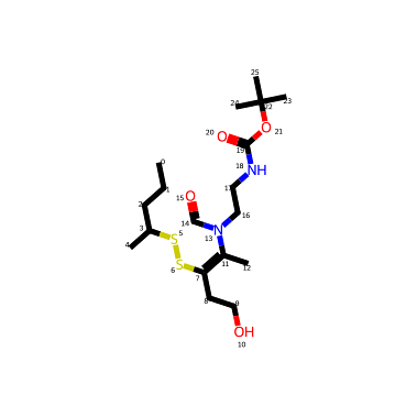 CCCC(C)SSC(CCO)=C(C)N(C=O)CCNC(=O)OC(C)(C)C